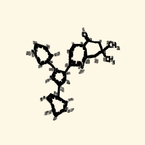 CC1(C)CC(=O)c2ccc(-c3cc(-c4cccnc4)nn3-c3cccnc3)nc2C1